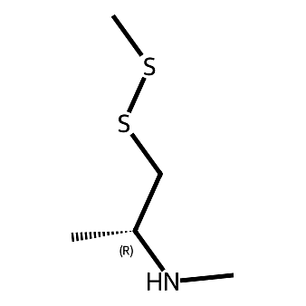 CN[C@H](C)CSSC